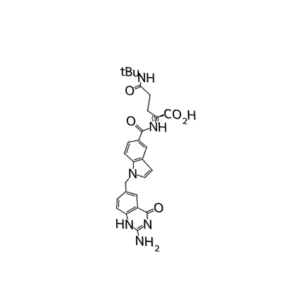 CC(C)(C)NC(=O)CC[C@H](NC(=O)c1ccc2c(ccn2Cc2ccc3[nH]c(N)nc(=O)c3c2)c1)C(=O)O